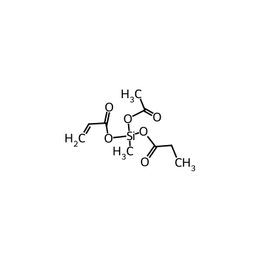 C=CC(=O)O[Si](C)(OC(C)=O)OC(=O)CC